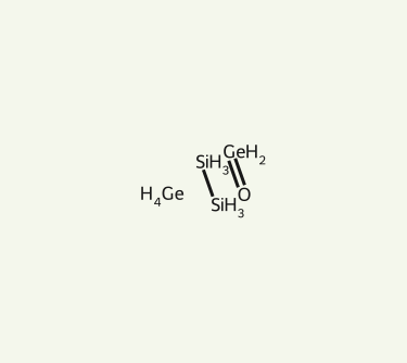 [GeH4].[O]=[GeH2].[SiH3][SiH3]